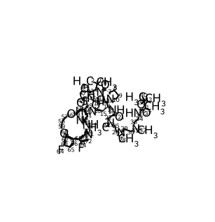 CC(C)[C@H](NC(=O)[C@@H]1CCCN1C(=O)[C@H](CC(N)=O)NC(=O)CN(C)CCN(C)CCN(C)CCNC(=O)OC(C)(C)C)C(=O)N=[S@](C)(=O)Cc1cc2nc(c1)OCCCOc1cc(F)ccc1-c1cc(ncc1F)N2